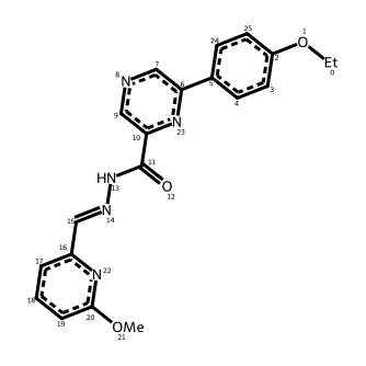 CCOc1ccc(-c2cncc(C(=O)NN=Cc3cccc(OC)n3)n2)cc1